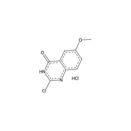 COc1ccc2nc(Cl)[nH]c(=O)c2c1.Cl